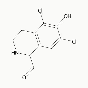 O=CC1NCCc2c1cc(Cl)c(O)c2Cl